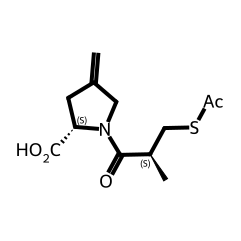 C=C1C[C@@H](C(=O)O)N(C(=O)[C@H](C)CSC(C)=O)C1